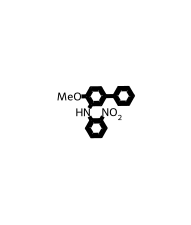 COc1ccc(-c2ccccc2)cc1Nc1ccccc1[N+](=O)[O-]